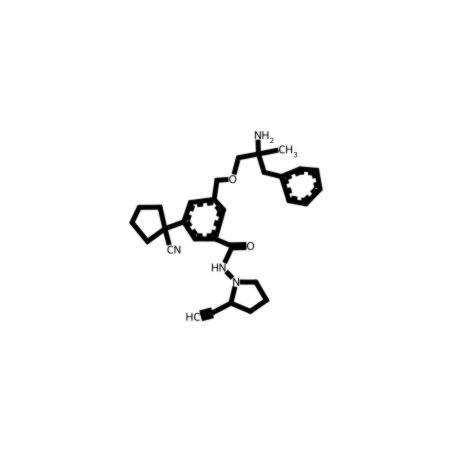 C#CC1CCCN1NC(=O)c1cc(COCC(C)(N)Cc2ccccc2)cc(C2(C#N)CCCC2)c1